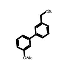 COc1cccc(-c2cccc(CC(C)(C)C)c2)c1